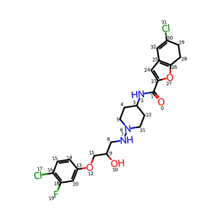 O=C(NC1CCN(NCC(O)COc2ccc(Cl)c(F)c2)CC1)c1cc2c(o1)CCC(Cl)=C2